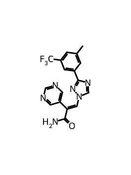 Cc1cc(-c2ncn(C=C(C(N)=O)c3cncnc3)n2)cc(C(F)(F)F)c1